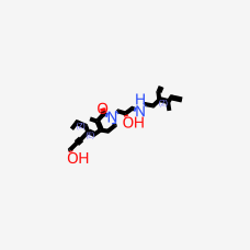 C=C/C(C)=C(\C=C)CCNCC(O)CN1CCC(/C=C(C#CCO)\C=C/C)=C(C)C1=O